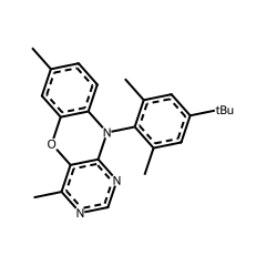 Cc1ccc2c(c1)Oc1c(C)ncnc1N2c1c(C)cc(C(C)(C)C)cc1C